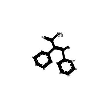 CC(=C(C(N)=O)c1ccccc1)c1ccccn1